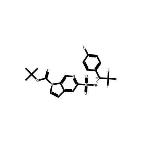 CC(C)(C)OC(=O)n1ccc2cc(S(=O)(=O)N[C@H](c3ccc(F)cc3)C(F)(F)F)ncc21